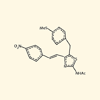 CSc1ccc(Cc2sc(NC(C)=O)nc2C=Cc2ccc([N+](=O)[O-])cc2)cc1